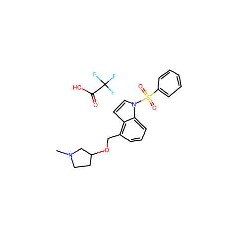 CN1CCC(OCc2cccc3c2ccn3S(=O)(=O)c2ccccc2)C1.O=C(O)C(F)(F)F